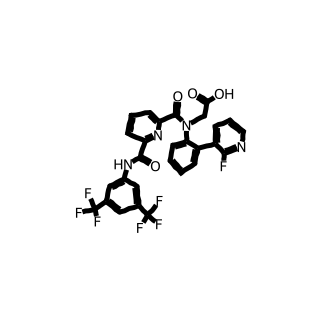 O=C(O)CN(C(=O)c1cccc(C(=O)Nc2cc(C(F)(F)F)cc(C(F)(F)F)c2)n1)c1ccccc1-c1cccnc1F